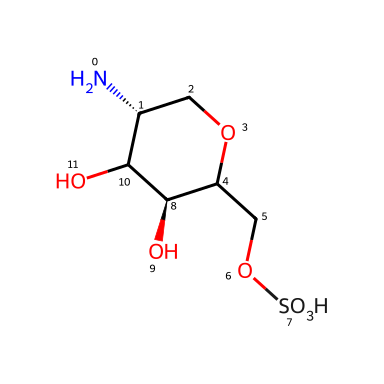 N[C@@H]1COC(COS(=O)(=O)O)[C@@H](O)C1O